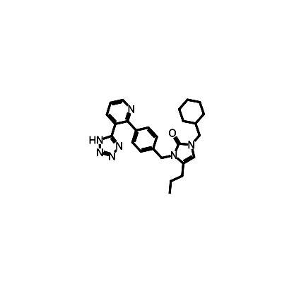 CCCc1cn(CC2CCCCC2)c(=O)n1Cc1ccc(-c2ncccc2-c2nnn[nH]2)cc1